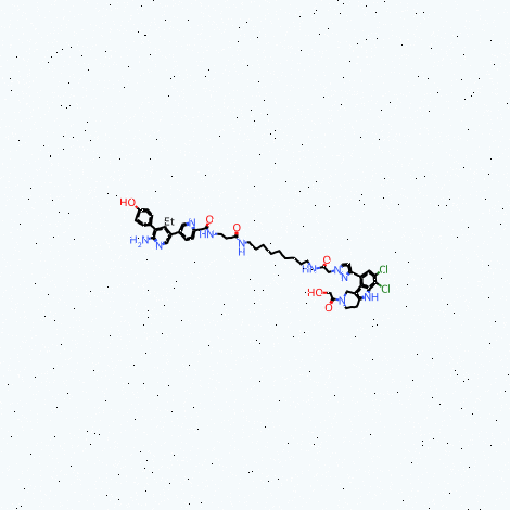 CCc1c(-c2ccc(C(=O)NCCC(=O)NCCCCCCCCCNC(=O)Cn3ccc(-c4cc(Cl)c(Cl)c5[nH]c6c(c45)CN(C(=O)CO)CC6)n3)nc2)cnc(N)c1-c1ccc(O)cc1